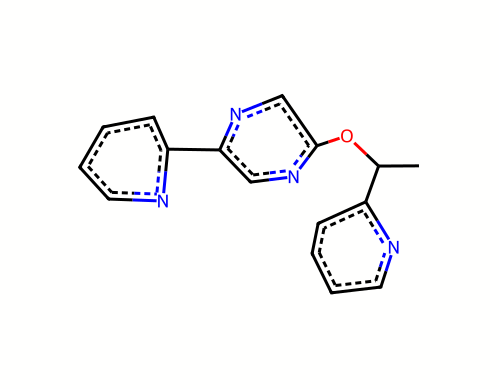 CC(Oc1cnc(-c2ccccn2)cn1)c1ccccn1